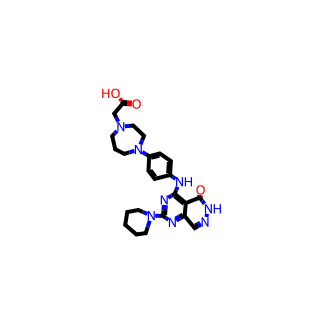 O=C(O)CN1CCCN(c2ccc(Nc3nc(N4CCCCC4)nc4cn[nH]c(=O)c34)cc2)CC1